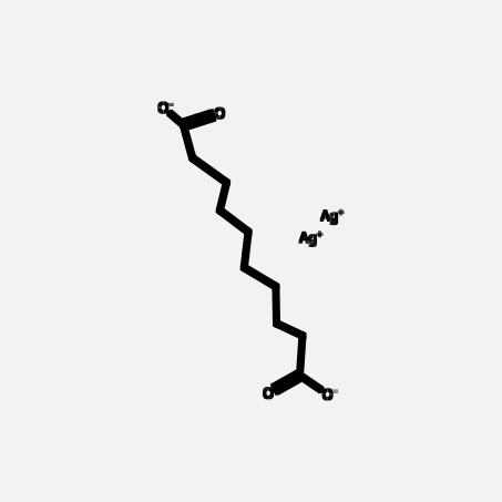 O=C([O-])CCCCCCCCC(=O)[O-].[Ag+].[Ag+]